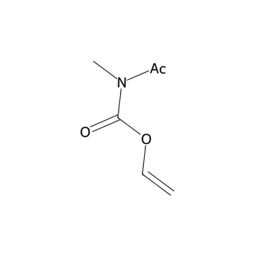 C=COC(=O)N(C)C(C)=O